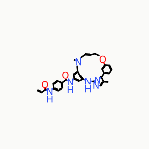 C=CC(=O)Nc1ccc(C(=O)Nc2cc3cc(c2)Nc2ncc(C)c(n2)-c2cccc(c2)OCC/C=C/CN(C)C3)cc1